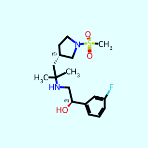 CC(C)(C[C@@H]1CCN(S(C)(=O)=O)C1)NC[C@H](O)c1cccc(F)c1